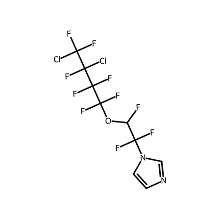 FC(OC(F)(F)C(F)(F)C(F)(Cl)C(F)(F)Cl)C(F)(F)n1ccnc1